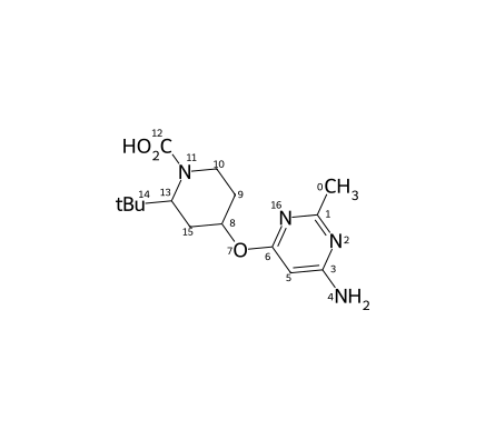 Cc1nc(N)cc(OC2CCN(C(=O)O)C(C(C)(C)C)C2)n1